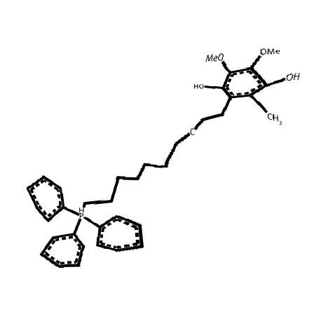 COc1c(O)c(C)c(CCCCCCCCCC[PH](c2ccccc2)(c2ccccc2)c2ccccc2)c(O)c1OC